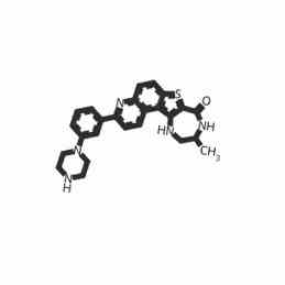 CC1CNc2c(sc3ccc4nc(-c5cccc(N6CCNCC6)c5)ccc4c23)C(=O)N1